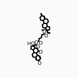 C=C[C@]1(OC(=O)CCCC(=O)OC(=O)[C@@]2(O)CCC3C4CCC5=CC(=O)C=C[C@]5(C)C4C(=O)C[C@@]32C)CCC2C3CCC4=CC(=C)CCC4C3CC[C@@]21CC